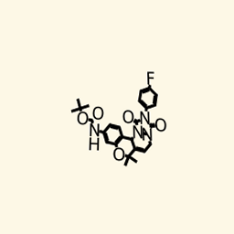 CC(C)(C)OC(=O)Nc1ccc2c(c1)OC(C)(C)C1=CCn3c(=O)n(-c4ccc(F)cc4)c(=O)n3C12